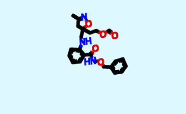 CC1=NOC(CCOC=O)(CNc2ccccc2C(=O)NOCc2ccccc2)C1